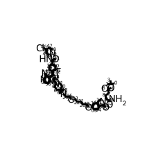 CC(C)(C)OC(=O)CCC(C(N)=O)N1Cc2cc(OCCCCCOCCN3CC4(CCN(c5nc(-c6ccc(C(=O)Nc7cc(Cl)ccn7)cc6F)c6c(N)nccn56)CC4)C3)ccc2C1=O